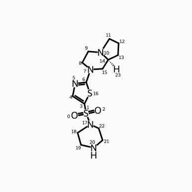 O=S(=O)(c1cnc(N2CCN3CCC[C@H]3C2)s1)N1CCNCC1